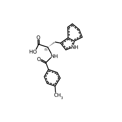 Cc1ccc(C(=O)N[C@@H](Cc2c[nH]c3ccccc23)C(=O)O)cc1